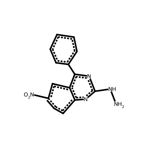 NNc1nc(-c2ccccc2)c2cc([N+](=O)[O-])ccc2n1